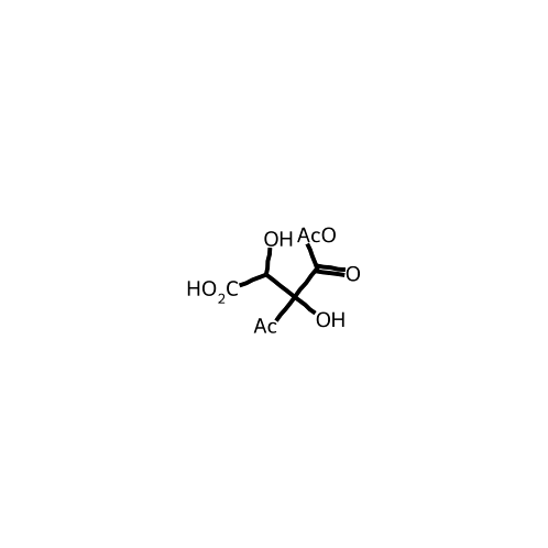 CC(=O)OC(=O)C(O)(C(C)=O)C(O)C(=O)O